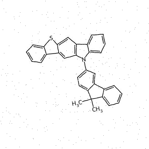 CC1(C)c2ccccc2-c2cc(-n3c4ccccc4c4cc5sc6ccccc6c5cc43)ccc21